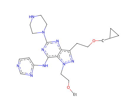 CCOCCn1nc(CCOCC2CC2)c2nc(N3CCNCC3)nc(Nc3ccncn3)c21